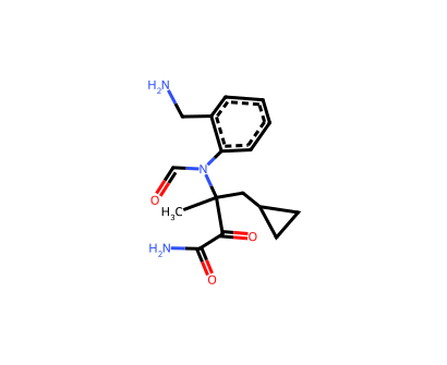 CC(CC1CC1)(C(=O)C(N)=O)N(C=O)c1ccccc1CN